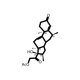 CC(=O)OCC(=O)[C@@]1(O)[C@H](C)CC2C3C[C@H](C)C4=CC(=O)CC[C@]4(C)C3=CC[C@@]21C